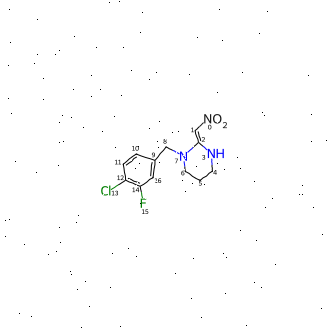 O=[N+]([O-])C=C1NCCCN1Cc1ccc(Cl)c(F)c1